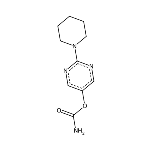 NC(=O)Oc1cnc(N2CCCCC2)nc1